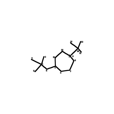 CC(C)(C)CC1CCCN(C(C)(C)C)CC1